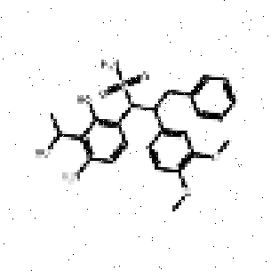 COc1ccc(C(Cc2ccccc2)C(c2ccc(N)c(C(C)O)c2O)S(N)(=O)=O)cc1OC